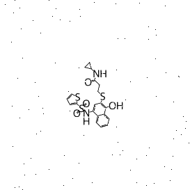 O=C(CCSc1cc(NS(=O)(=O)c2cccs2)c2ccccc2c1O)NC1CC1